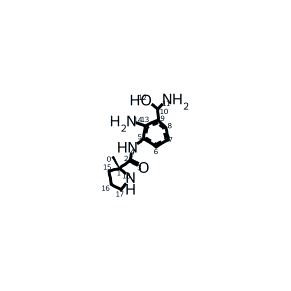 C[C@]1(C(=O)Nc2cccc(C(N)O)c2N)CCCN1